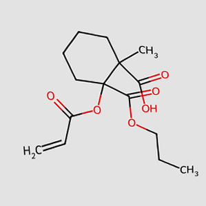 C=CC(=O)OC1(C(=O)OCCC)CCCCC1(C)C(=O)O